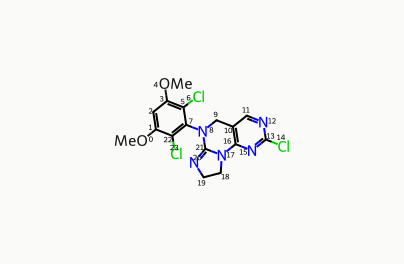 COc1cc(OC)c(Cl)c(N2Cc3cnc(Cl)nc3N3CCN=C32)c1Cl